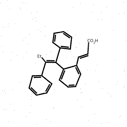 CC/C(=C(\c1ccccc1)c1ccccc1/C=C/C(=O)O)c1ccccc1